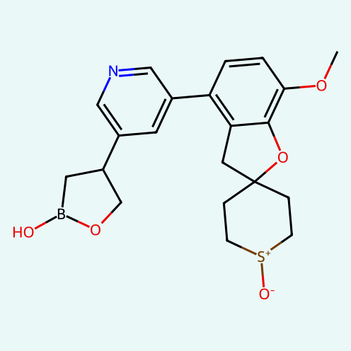 COc1ccc(-c2cncc(C3COB(O)C3)c2)c2c1OC1(CC[S+]([O-])CC1)C2